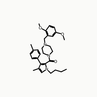 CCCCn1cc(C)c(-c2ccc(C)cc2)c1C(=O)N1CCN(Cc2cc(OC)ccc2OC)CC1